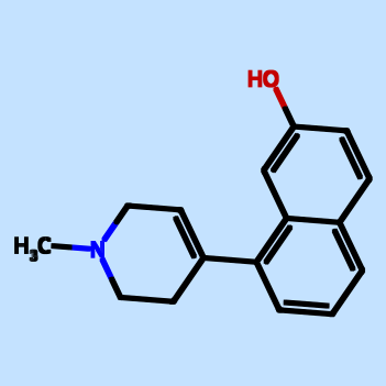 CN1CC=C(c2cccc3ccc(O)cc23)CC1